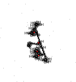 O=C(CCCCCNC(=O)CN(CC(=O)NCCCCCCN(CCO[C@H]1O[C@H](CO)[C@@H](O)[C@H](O)[C@@H]1O)CCO[C@H]1O[C@H](CO[C@H]2O[C@H](CO)[C@@H](O)[C@H](O)[C@@H]2O)[C@@H](O)[C@H](O[C@H]2O[C@H](CO)[C@@H](O)[C@H](O)[C@@H]2O)[C@@H]1O)CC(=O)NCCCCCC(=O)ON1C(=O)CCC1=O)NCCO[C@H]1O[C@H](CO[C@H]2O[C@H](CO)[C@@H](O)[C@H](O)[C@@H]2O)[C@@H](O)[C@H](O[C@H]2O[C@H](CO)[C@@H](O)[C@H](O)[C@@H]2O)[C@@H]1O